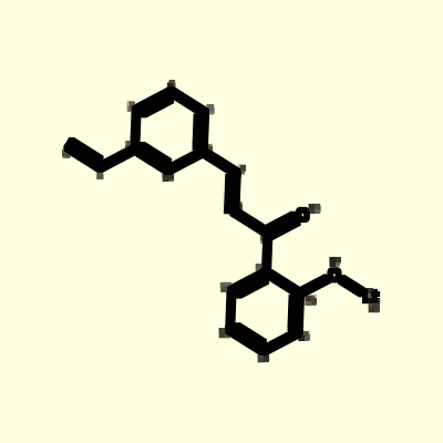 C=Cc1cccc(/C=C/C(=O)c2ccccc2OCC)c1